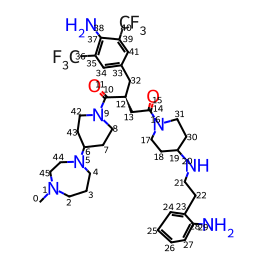 CN1CCCN(C2CCN(C(=O)[C@H](CC(=O)N3CCC(NCCc4ccccc4N)CC3)Cc3cc(C(F)(F)F)c(N)c(C(F)(F)F)c3)CC2)CC1